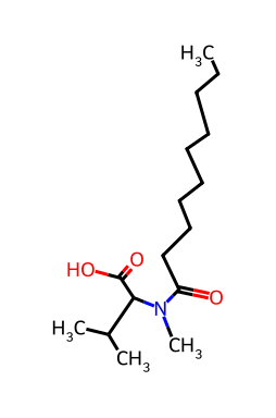 CCCCCCCCCC(=O)N(C)C(C(=O)O)C(C)C